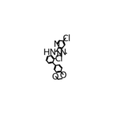 Cn1nc(Nc2cccc(-c3ccc4c(c3)OCCO4)c2Cl)c2ncc(Cl)cc21